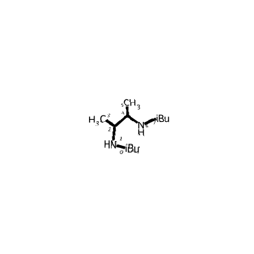 CCC(C)NC(C)C(C)NC(C)CC